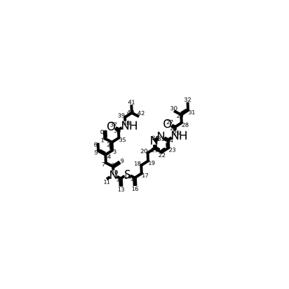 C=C/C(=C\C(=C/C)CC(=C)N(C)C(=C)SC(=C)CCCCc1ccc(NC(=O)C/C(C)=C/C)nn1)CC(=O)NCC(C)C